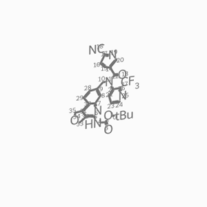 CC(C)(C)OC(=O)Nc1nc2cc(CN(C(=O)c3ccc(C#N)nc3)c3cccnc3C(F)(F)F)ccc2c2c1COC2